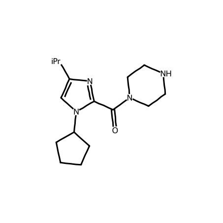 CC(C)c1cn(C2CCCC2)c(C(=O)N2CCNCC2)n1